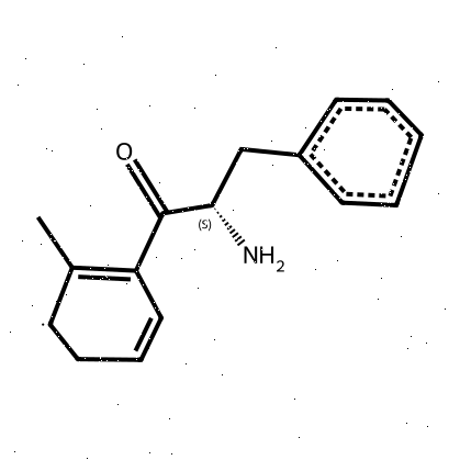 CC1=C(C(=O)[C@@H](N)Cc2ccccc2)C=CC[CH]1